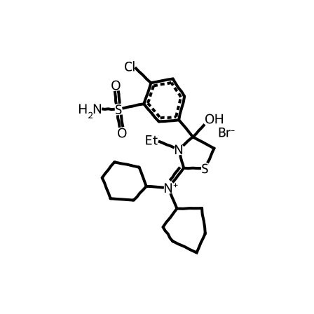 CCN1C(=[N+](C2CCCCC2)C2CCCCC2)SCC1(O)c1ccc(Cl)c(S(N)(=O)=O)c1.[Br-]